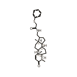 CN1C(=O)C=C[C@]2(C)[C@H]3CC[C@]4(C)C(CNC(=O)CSc5ccccc5)CC[C@H]4[C@@H]3CC[C@@H]12